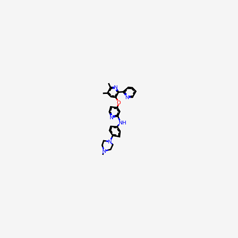 Cc1cc(Oc2ccnc(Nc3ccc(N4CCN(C)CC4)cc3)c2)c(-c2ccccn2)nc1C